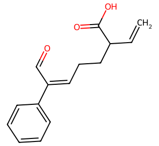 C=CC(CCC=C(C=O)c1ccccc1)C(=O)O